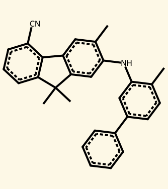 Cc1ccc(-c2ccccc2)cc1Nc1cc2c(cc1C)-c1c(C#N)cccc1C2(C)C